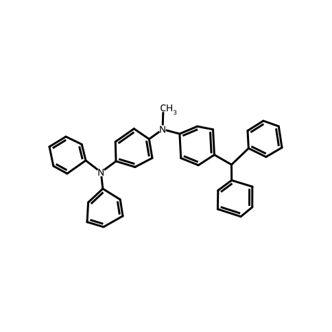 CN(c1ccc(C(c2ccccc2)c2ccccc2)cc1)c1ccc(N(c2ccccc2)c2ccccc2)cc1